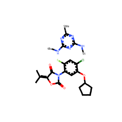 CC(C)=C1OC(=O)N(c2cc(OC3CCCC3)c(Cl)cc2F)C1=O.CCNc1nc(NC(C)(C)C)nc(SC)n1